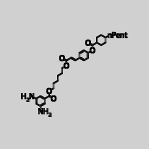 CCCCCC1CCC(C(=O)Oc2ccc(C=CC(=O)OCCCCCCOC(=O)c3cc(N)cc(N)c3)cc2)CC1